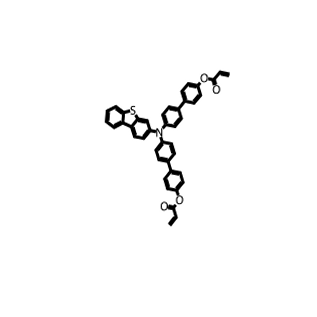 C=CC(=O)Oc1ccc(-c2ccc(N(c3ccc(-c4ccc(OC(=O)C=C)cc4)cc3)c3ccc4c(c3)sc3ccccc34)cc2)cc1